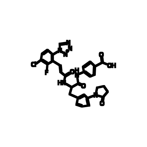 O=C(C=Cc1c(-n2cnnn2)ccc(Cl)c1F)NC(Cc1cccc(N2CCCC2=O)c1)C(=O)Nc1ccc(C(=O)O)cc1